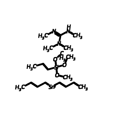 CCC[CH2][Sn][CH2]CCC.CCC[Si](OC)(OC)OC.CN=C(NC)N(C)C